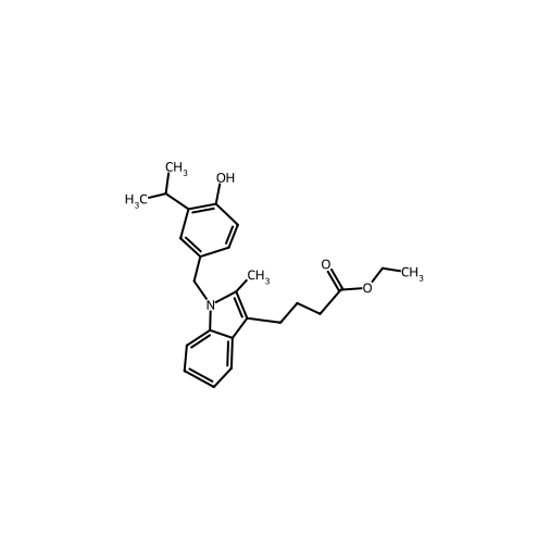 CCOC(=O)CCCc1c(C)n(Cc2ccc(O)c(C(C)C)c2)c2ccccc12